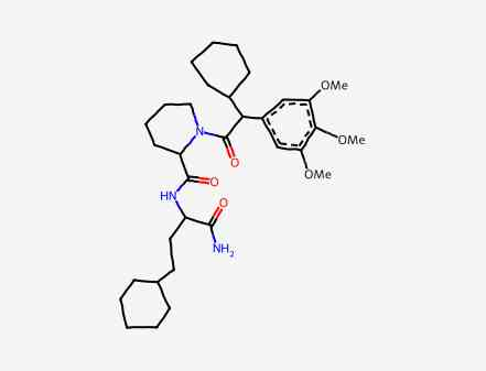 COc1cc(C(C(=O)N2CCCCC2C(=O)NC(CCC2CCCCC2)C(N)=O)C2CCCCC2)cc(OC)c1OC